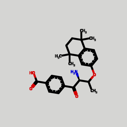 CC(Oc1ccc2c(c1)C(C)(C)CCC2(C)C)[C@H](N)C(=O)c1ccc(C(=O)O)cc1